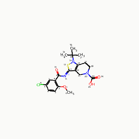 COc1ccc(Cl)cc1C(=O)/N=c1\sn(C(C)(C)C)c2c1CN(C(=O)O)CC2